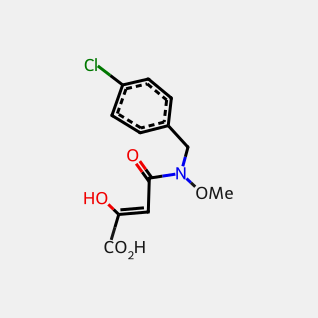 CON(Cc1ccc(Cl)cc1)C(=O)C=C(O)C(=O)O